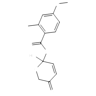 COc1ccc(C(=O)OC2(O)C=CC(=O)CO2)c(C)c1